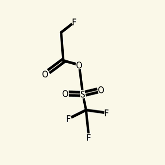 O=C(CF)OS(=O)(=O)C(F)(F)F